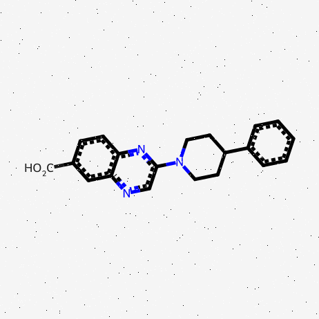 O=C(O)c1ccc2nc(N3CCC(c4ccccc4)CC3)cnc2c1